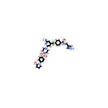 O=C1CCCN1c1ccc(S(=O)(=O)N2CCN(c3cc(C(F)(F)[C@H]4CC[C@H](C(=O)NCC5CNC5)CC4)cc(Cl)n3)CC2)cc1